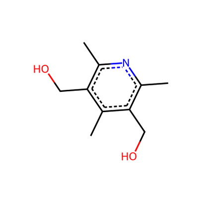 Cc1nc(C)c(CO)c(C)c1CO